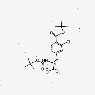 CC(C)(C)OC(=O)N[C@@H](Cc1ccc(C(=O)OC(C)(C)C)c(Cl)c1)C(=O)O